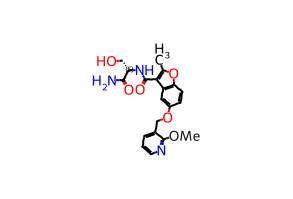 COc1ncccc1COc1ccc2oc(C)c(C(=O)N[C@@H](CO)C(N)=O)c2c1